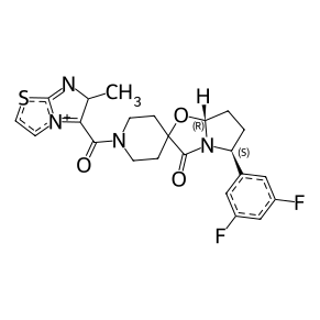 CC1N=c2scc[n+]2=C1C(=O)N1CCC2(CC1)O[C@@H]1CC[C@@H](c3cc(F)cc(F)c3)N1C2=O